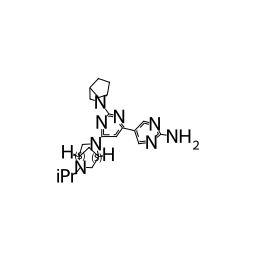 CC(C)N1C[C@@H]2C[C@H]1CN2c1cc(-c2cnc(N)nc2)nc(N2CC3CCC2C3)n1